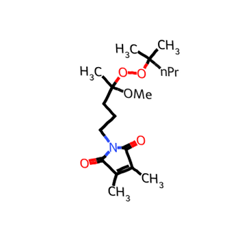 CCCC(C)(C)OOC(C)(CCCN1C(=O)C(C)=C(C)C1=O)OC